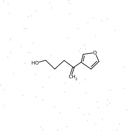 C=C(CCCO)c1ccoc1